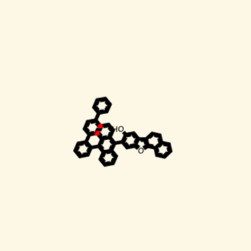 Oc1cc2c(cc1-c1c3ccccc3c(-c3ccccc3-c3ccc(-c4ccccc4)cc3)c3ccccc13)oc1c3ccccc3ccc21